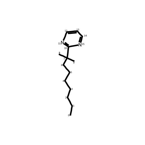 CCCCCCCC(C)(C)c1ncccn1